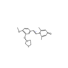 COc1ccc(/C=C/n2c(C)cc(=O)cc2C)cc1O[C@H]1CCSC1